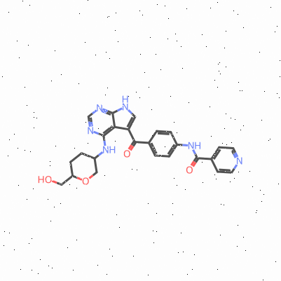 O=C(Nc1ccc(C(=O)c2c[nH]c3ncnc(NC4CCC(CO)OC4)c23)cc1)c1ccncc1